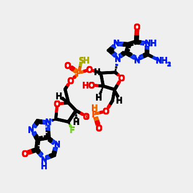 Nc1nc2c(ncn2[C@@H]2O[C@@H]3CO[PH](=O)O[C@H]4[C@H](F)[C@H](n5cnc6c(=O)[nH]cnc65)O[C@@H]4COP(=O)(S)O[C@@H]2[C@@H]3O)c(=O)[nH]1